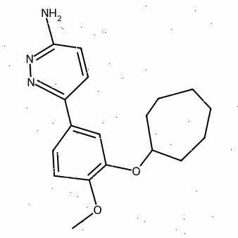 COc1ccc(-c2ccc(N)nn2)cc1OC1CCCCCC1